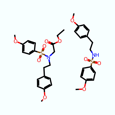 CCOC(=O)CN(CCc1ccc(OC)cc1)S(=O)(=O)c1ccc(OC)cc1.COc1ccc(CCNS(=O)(=O)c2ccc(OC)cc2)cc1